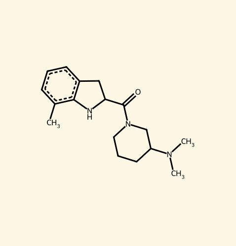 Cc1cccc2c1NC(C(=O)N1CCCC(N(C)C)C1)C2